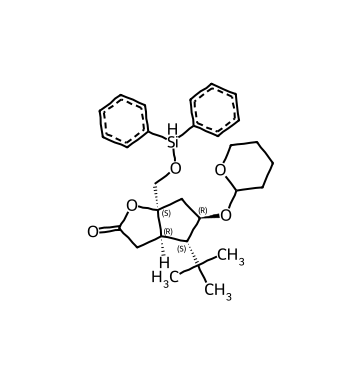 CC(C)(C)[C@@H]1[C@H]2CC(=O)O[C@@]2(CO[SiH](c2ccccc2)c2ccccc2)C[C@H]1OC1CCCCO1